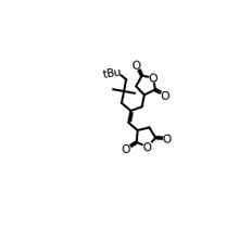 CC(C)(C)CC(C)(C)C/C(=C/C1CC(=O)OC1=O)CC1CC(=O)OC1=O